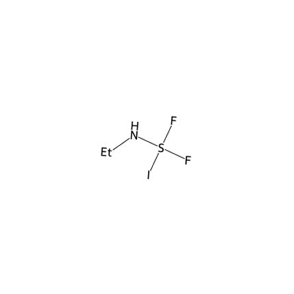 CCNS(F)(F)I